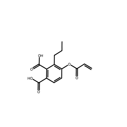 C=CC(=O)Oc1ccc(C(=O)O)c(C(=O)O)c1CCC